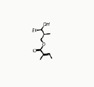 CC=C(C)C(=O)OCC(C)C(O)CC